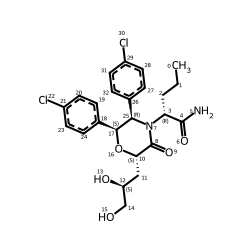 CCC[C@H](C(N)=O)N1C(=O)[C@H](C[C@H](O)CO)O[C@@H](c2ccc(Cl)cc2)[C@H]1c1ccc(Cl)cc1